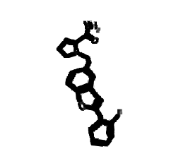 NC(=O)C1CCCN1Cc1ccc2oc(-c3ccccc3F)cc2c1